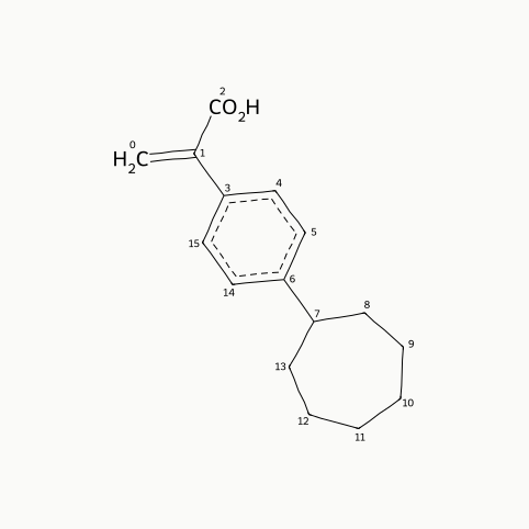 C=C(C(=O)O)c1ccc(C2CCCCCC2)cc1